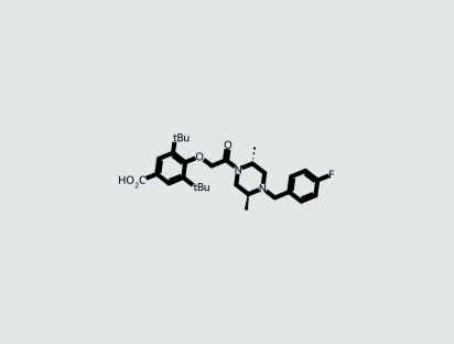 C[C@@H]1CN(Cc2ccc(F)cc2)[C@@H](C)CN1C(=O)COc1c(C(C)(C)C)cc(C(=O)O)cc1C(C)(C)C